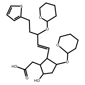 O=C(O)CC1C(O)CC(OC2CCCCO2)C1C=CC(CCc1cccs1)OC1CCCCO1